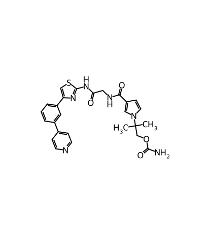 CC(C)(COC(N)=O)n1ccc(C(=O)NCC(=O)Nc2nc(-c3cccc(-c4ccncc4)c3)cs2)c1